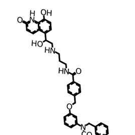 O=C(NCCCNCC(O)c1ccc(O)c2[nH]c(=O)ccc12)c1ccc(COc2cccc(N(Cc3ccccc3)C(=O)O)c2)cc1